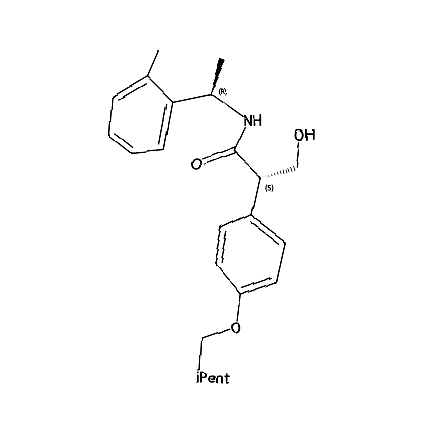 CCCC(C)COc1ccc([C@@H](CO)C(=O)N[C@H](C)c2ccccc2C)cc1